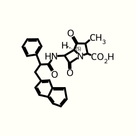 CC1C(=O)[C@@H]2C(NC(=O)C(Cc3ccc4ccccc4c3)c3ccccc3)C(=O)N2C1C(=O)O